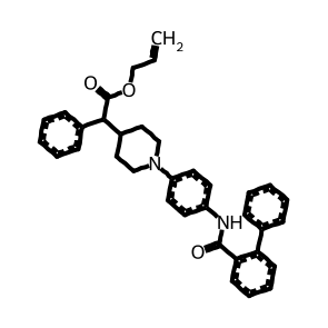 C=CCOC(=O)C(c1ccccc1)C1CCN(c2ccc(NC(=O)c3ccccc3-c3ccccc3)cc2)CC1